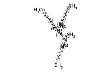 CCCCCCCCCCCNC(=O)CCN(CCN)CCNCCN(CCC(=O)NCCCCCCCCCCC)CCC(=O)NCCCCCCCCCCC